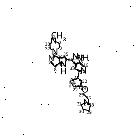 CN1CCN(c2nccc3[nH]c(-c4n[nH]c5cnc(-c6cncc(OCCN7CCCC7)c6)cc45)cc23)CC1